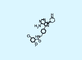 COc1ccc(Cl)cc1C(=O)NCc1ccc(-c2nn([C@@H]3CCCNC3)c3ncnc(N)c23)cc1